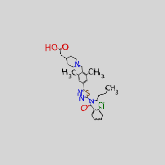 CCCCN(C(=O)c1ccccc1Cl)c1nnc(-c2cc(C)c(CN3CCC(CC(=O)O)CC3)c(C)c2)s1